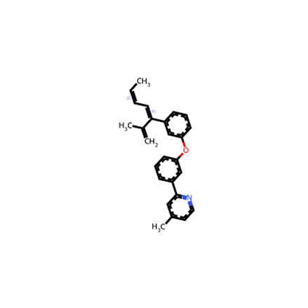 C=C(C)/C(=C\C=C/C)c1cccc(Oc2cccc(-c3cc(C)ccn3)c2)c1